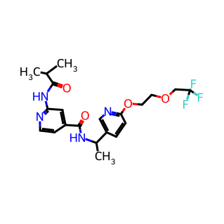 CC(C)C(=O)Nc1cc(C(=O)NC(C)c2ccc(OCCOCC(F)(F)F)nc2)ccn1